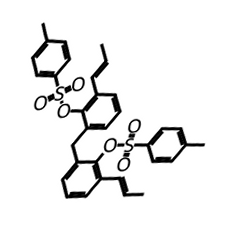 CC=Cc1cccc(Cc2cccc(C=CC)c2OS(=O)(=O)c2ccc(C)cc2)c1OS(=O)(=O)c1ccc(C)cc1